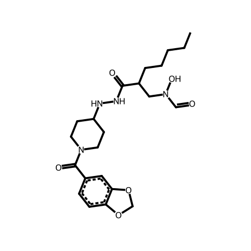 CCCCCC(CN(O)C=O)C(=O)NNC1CCN(C(=O)c2ccc3c(c2)OCO3)CC1